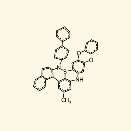 Cc1cc2c3c(c1)-c1c(ccc4ccccc14)N(c1ccc(-c4ccccc4)cc1)B3c1cc3c(cc1N2)Oc1ccccc1O3